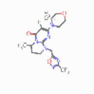 C[C@@H]1COCCN1c1nc2n(c(=O)c1F)C(C(F)(F)F)CCN2Cc1nc(C(F)(F)F)no1